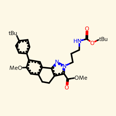 COC(=O)c1c2c(nn1CCCNC(=O)OC(C)(C)C)-c1cc(-c3ccc(C(C)(C)C)cc3)c(OC)cc1CC2